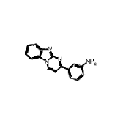 Nc1cccc(-c2ccn3c(n2)nc2ccccc23)c1